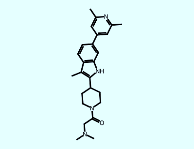 Cc1cc(-c2ccc3c(C)c(C4CCN(C(=O)CN(C)C)CC4)[nH]c3c2)cc(C)n1